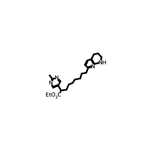 CCOC(=O)C(CCCCCCCc1ccc2c(n1)NCCC2)c1cnc(C)nc1